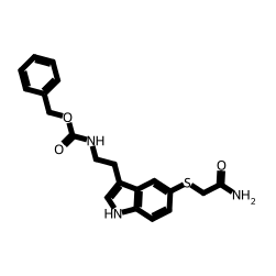 NC(=O)CSc1ccc2[nH]cc(CCNC(=O)OCc3ccccc3)c2c1